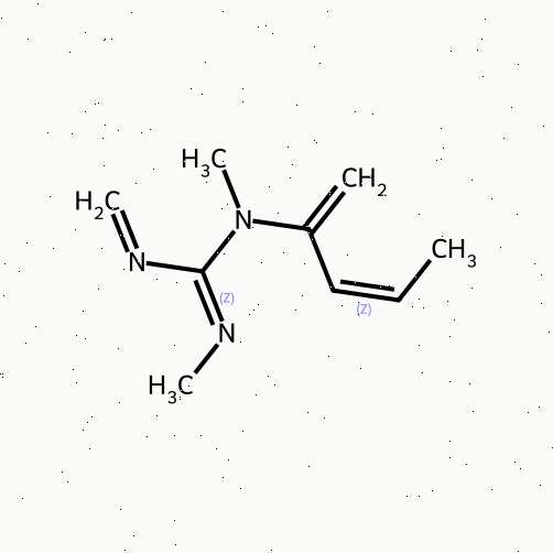 C=N/C(=N\C)N(C)C(=C)/C=C\C